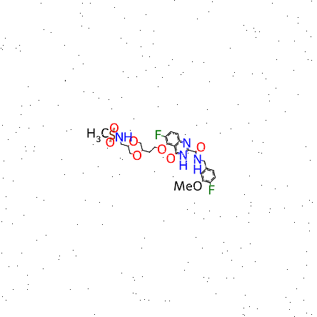 COc1cc(CNC(=O)c2nc3ccc(F)c(OCCC4COC(CNS(C)(=O)=O)CO4)c3c(=O)[nH]2)ccc1F